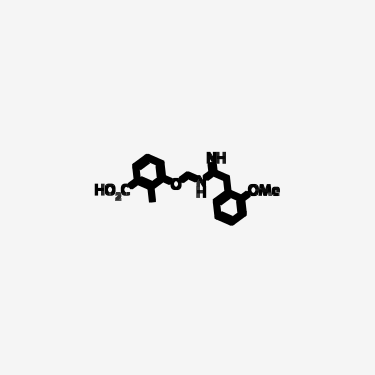 COc1ccccc1CC(=N)NCOc1cccc(C(=O)O)c1C